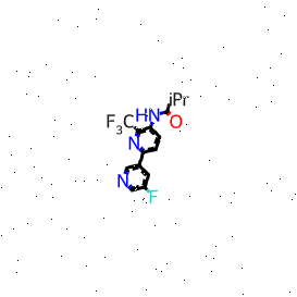 CC(C)C(=O)Nc1ccc(-c2cncc(F)c2)nc1C(F)(F)F